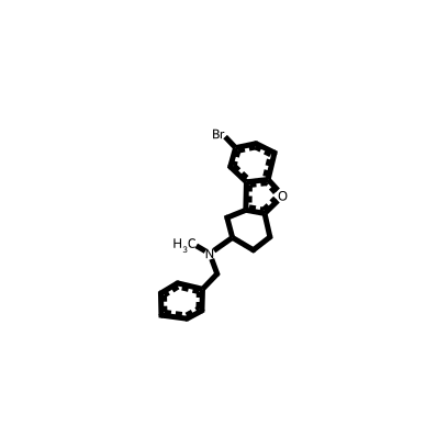 CN(Cc1ccccc1)C1CCc2oc3ccc(Br)cc3c2C1